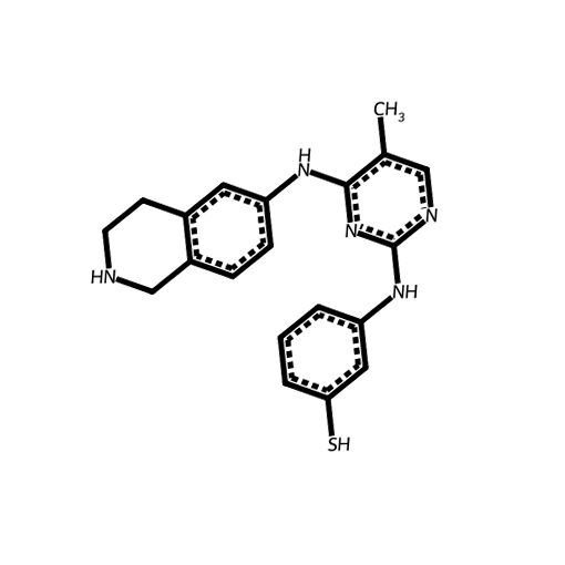 Cc1cnc(Nc2cccc(S)c2)nc1Nc1ccc2c(c1)CCNC2